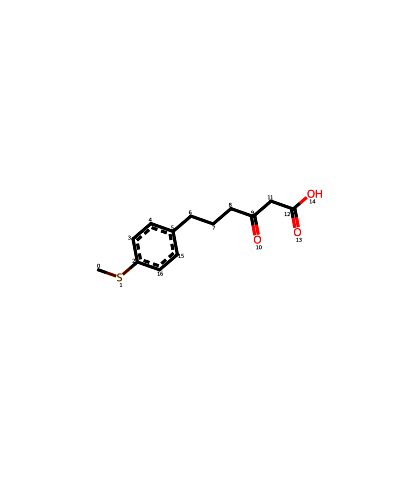 CSc1ccc(CCCC(=O)CC(=O)O)cc1